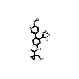 CCOc1ccc(-c2ccc(NC(=O)C3(CC(C)C)CC3)cc2-c2nnn[nH]2)cn1